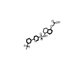 O=C(O)COc1cccc2c1CCCC2NS(=O)(=O)c1ccc(-c2cccc(C(F)(F)F)c2)nc1